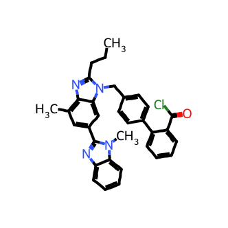 CCCc1nc2c(C)cc(-c3nc4ccccc4n3C)cc2n1Cc1ccc(-c2ccccc2C(=O)Cl)cc1